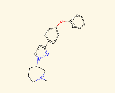 CN1CCCC(n2ccc(-c3ccc(Oc4ccccc4)cc3)n2)C1